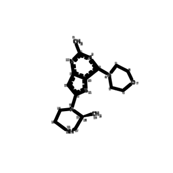 Cc1nc(N2CCOCC2)c2sc(N3CCNC[C@@H]3C)cc2n1